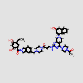 CCc1cc(C(=O)N2Cc3ccc(CN4CCN(C(=O)CCNc5nc6c(c(N7CCN(C(C)=O)CC7)n5)CCN(c5cc(O)cc7ccccc57)C6)CC4)cc3C2)c(O)cc1O